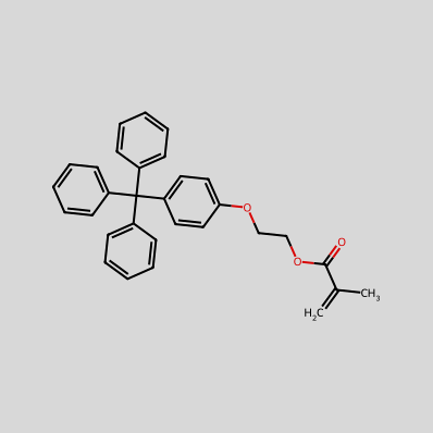 C=C(C)C(=O)OCCOc1ccc(C(c2ccccc2)(c2ccccc2)c2ccccc2)cc1